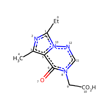 CCc1nc(C)c2c(=O)n(CC(=O)O)cnn12